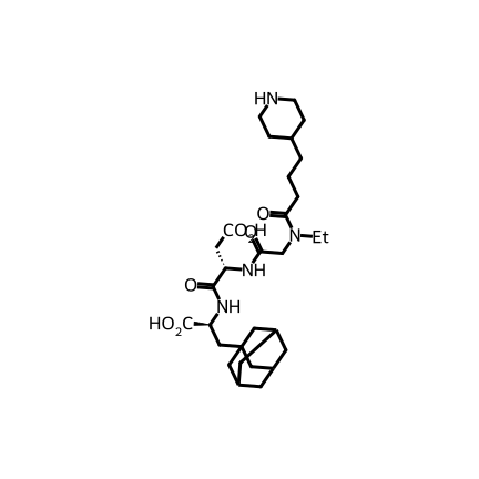 CCN(CC(=O)N[C@@H](CC(=O)O)C(=O)N[C@@H](CC12CC3CC(CC(C3)C1)C2)C(=O)O)C(=O)CCCC1CCNCC1